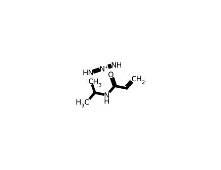 C=CC(=O)NC(C)C.N=[N+]=N